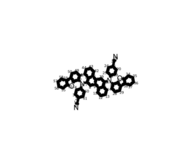 N#Cc1ccc(N(c2cc3c4ccccc4c(N(c4ccc(C#N)cc4)c4cccc5c4oc4ccccc45)cc3c3ccccc23)c2cccc3c2oc2ccccc23)cc1